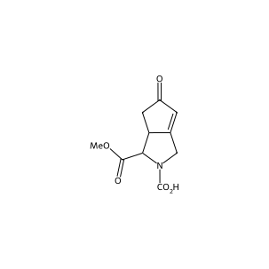 COC(=O)C1C2CC(=O)C=C2CN1C(=O)O